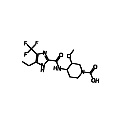 CCc1[nH]c(C(=O)NC2CCN(C(=O)O)CC2OC)nc1C(F)(F)F